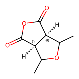 CC1OC(C)[C@@H]2C(=O)OC(=O)[C@H]12